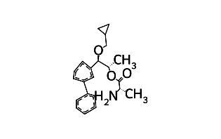 C[C@H](N)C(=O)O[C@@H](C)[C@H](OCC1CC1)c1cccc(-c2ccccc2)c1